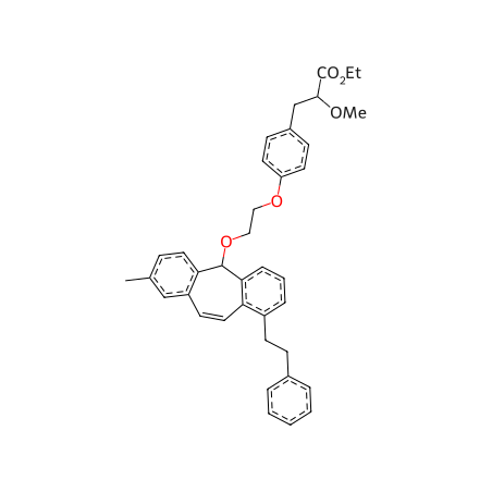 CCOC(=O)C(Cc1ccc(OCCOC2c3ccc(C)cc3C=Cc3c(CCc4ccccc4)cccc32)cc1)OC